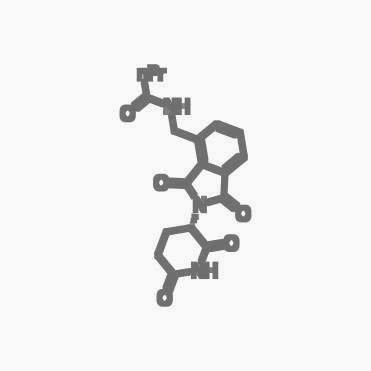 CCCC(=O)NCc1cccc2c1C(=O)N([C@H]1CCC(=O)NC1=O)C2=O